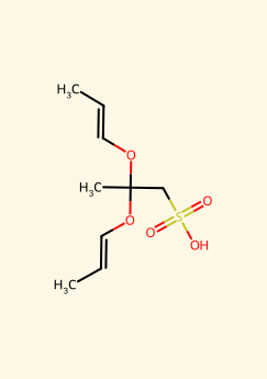 CC=COC(C)(CS(=O)(=O)O)OC=CC